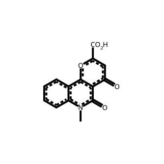 Cn1c(=O)c2c(=O)cc(C(=O)O)oc2c2ccccc21